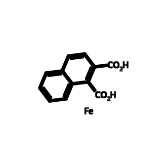 O=C(O)c1ccc2ccccc2c1C(=O)O.[Fe]